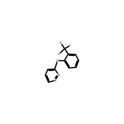 FC(F)(F)c1ccccc1Oc1cccnn1